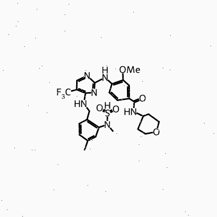 COc1cc(C(=O)NC2CCOCC2)ccc1Nc1ncc(C(F)(F)F)c(NCc2ccc(C)cc2N(C)[SH](=O)=O)n1